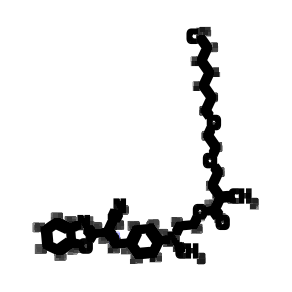 C=C(CCOCCOCCCCCCCl)C(=O)OCCN(C)c1ccc(/C=C(\C#N)c2nc3ccccc3o2)cc1